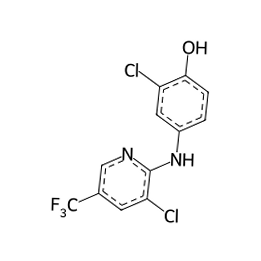 Oc1ccc(Nc2ncc(C(F)(F)F)cc2Cl)cc1Cl